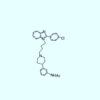 CC(=O)Nc1cccc(C2CCN(CCCCn3c(-c4ccc(Cl)cc4)nc4ccccc43)CC2)c1